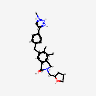 Cc1c(Cc2ccc(-c3cn(C)nn3)cc2)cc2c(c1C)CN(CC1CCCO1)C2=O